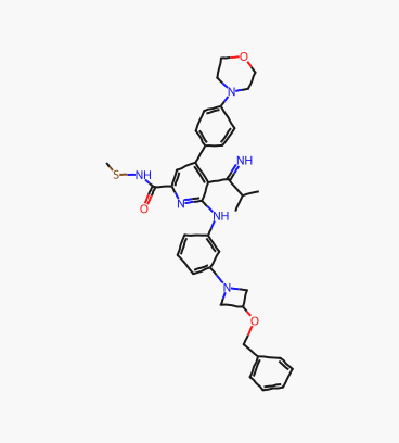 CSNC(=O)c1cc(-c2ccc(N3CCOCC3)cc2)c(C(=N)C(C)C)c(Nc2cccc(N3CC(OCc4ccccc4)C3)c2)n1